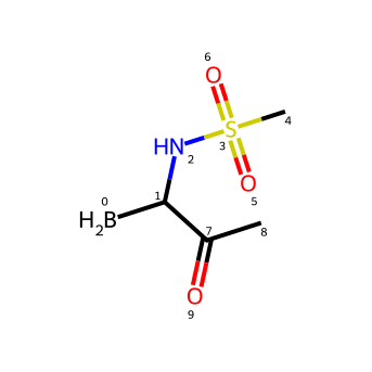 BC(NS(C)(=O)=O)C(C)=O